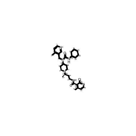 Cc1ccncc1CN(C(=O)NC1CCCCC1)C1CCN([C@H](C)CCNC(=O)c2c(C)ccnc2Cl)CC1